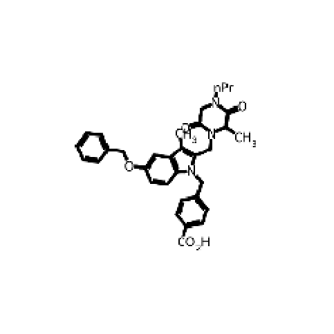 CCCN1CC(=O)N(Cc2c(C)c3cc(OCc4ccccc4)ccc3n2Cc2ccc(C(=O)O)cc2)C(C)C1=O